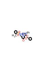 Cc1ccccc1S(=O)(=O)NCc1cc(=O)c(OCc2ccccc2)c(C(=O)NC(C)C)n1C